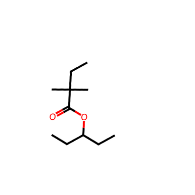 CCC(CC)OC(=O)C(C)(C)CC